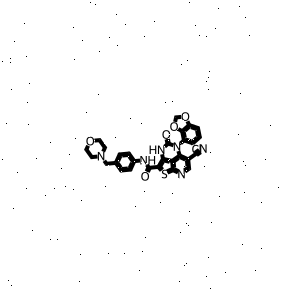 N#Cc1cnc2sc(C(=O)Nc3ccc(CN4CCOCC4)cc3)c3c2c1N(c1c(Cl)ccc2c1OCO2)C(=O)N3